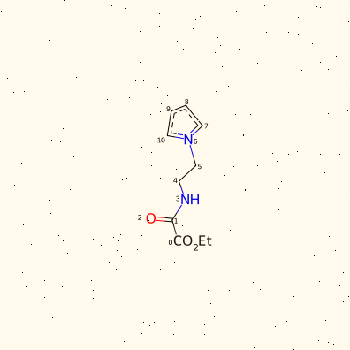 CCOC(=O)C(=O)NCCn1cccc1